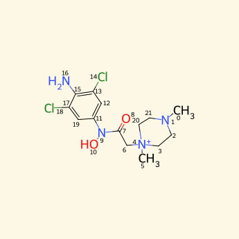 CN1CC[N+](C)(CC(=O)N(O)c2cc(Cl)c(N)c(Cl)c2)CC1